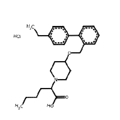 CCCCC(C(=O)O)N1CCC(OCc2ccccc2-c2ccc(CC)cc2)CC1.Cl